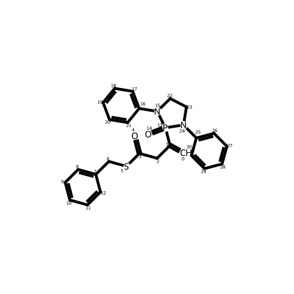 C=C(CC(=O)SCc1ccccc1)P1(=O)N(c2ccccc2)CCN1c1ccccc1